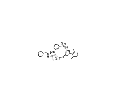 Cc1cccc(C)c1-c1cc2nc(n1)NS(=O)(=O)c1cccc(c1)C(=O)N1[C@H](CCC[C@@H]1C(=O)NCc1ccccc1)CO2